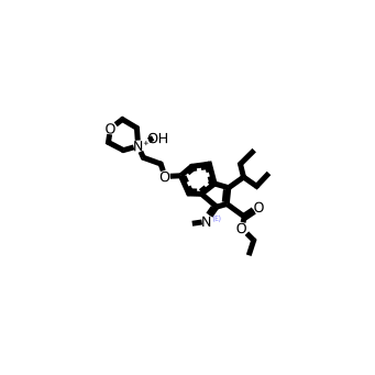 CCOC(=O)C1=C(C(CC)CC)c2ccc(OCC[N+]3(O)CCOCC3)cc2/C1=N\C